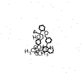 CC(C)(c1cc(-c2cccc(COc3ccccc3C(O)(CCc3ccccc3)C3CC3)c2)c2ncccc2c1)S(C)(=O)=O